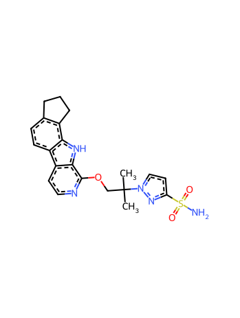 CC(C)(COc1nccc2c1[nH]c1c3c(ccc12)CCC3)n1ccc(S(N)(=O)=O)n1